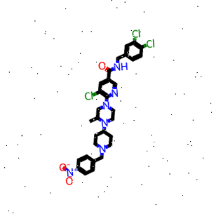 CC1CN(c2ncc(C(=O)NCc3ccc(Cl)c(Cl)c3)cc2Cl)CCN1C1CCN(Cc2ccc([N+](=O)[O-])cc2)CC1